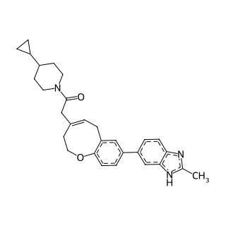 Cc1nc2ccc(-c3ccc4c(c3)C/C=C(/CC(=O)N3CCC(C5CC5)CC3)CCO4)cc2[nH]1